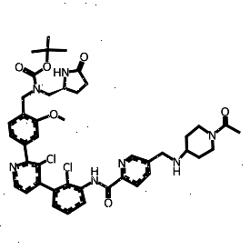 COc1cc(-c2nccc(-c3cccc(NC(=O)c4ccc(CNC5CCN(C(C)=O)CC5)cn4)c3Cl)c2Cl)ccc1CN(C[C@@H]1CCC(=O)N1)C(=O)OC(C)(C)C